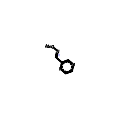 CO/N=C/c1cnccn1